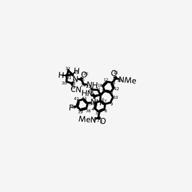 CNC(=O)c1ccc2c(c1)CCc1cc(C(=O)NC)ccc1C2(CCNCC(=O)N1C(C#N)C[C@@H]2C[C@@H]21)C(=N)Nc1ccc(F)cc1